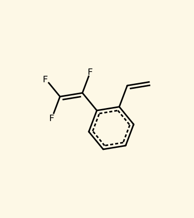 C=Cc1ccccc1C(F)=C(F)F